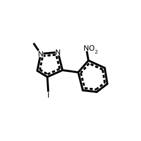 Cn1cc(I)c(-c2ccccc2[N+](=O)[O-])n1